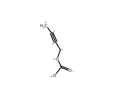 CC#CCOC([O])=O